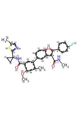 CNC(=O)c1c(-c2ccc(F)cc2)oc2ccc(-c3cc(C(=O)NC4(c5ncc(C)s5)CC4)c(OC)cc3C)cc12